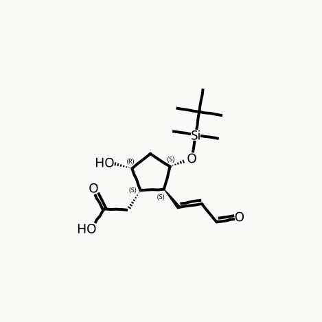 CC(C)(C)[Si](C)(C)O[C@H]1C[C@@H](O)[C@@H](CC(=O)O)[C@@H]1C=CC=O